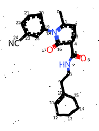 Cc1ccc(C(=O)NCCC2=CCCCC2)c(=O)n1-c1cccc(C#N)c1